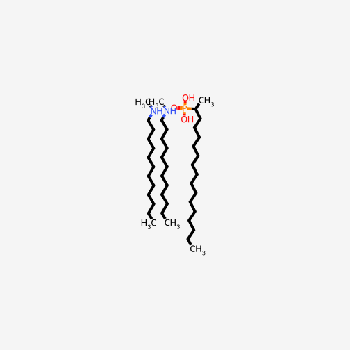 CCCCCCCCCCCCCCCC(C)P(=O)(O)O.CCCCCCCCCCCCNC.CCCCCCCCCCCCNC